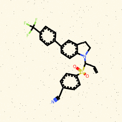 C=CC(N1CCc2cc(-c3ccc(C(F)(F)F)cc3)ccc21)S(=O)(=O)c1ccc(C#N)cc1